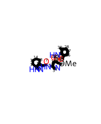 COc1ncc(NC(=O)c2n[nH]c3c2CCCC3)cc1S(=O)(=O)Nc1c(C)cccc1C